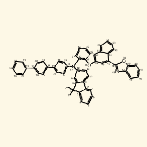 CC1(C)c2ccccc2-c2ccc(N(c3ccc(-c4ccc(-c5ccccc5)cc4)cc3)c3cccc4c3oc3cc(-c5nc6ccccc6o5)c5ccccc5c34)cc21